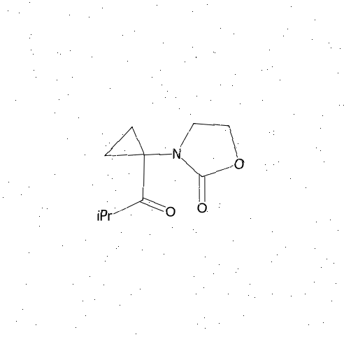 CC(C)C(=O)C1(N2CCOC2=O)CC1